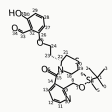 CC(C)(C)[Si](C)(C)OCc1ncccc1C(=O)N1CCSC[C@H]1CCOc1cccc(O)c1C=O